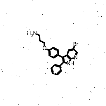 NCCCOc1ccc(-c2c(-c3ccccc3)[nH]c3ncc(Br)cc23)cc1